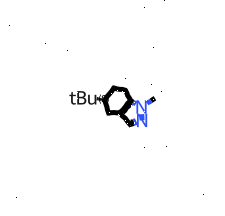 Cn1ncc2c1CC[C@H](C(C)(C)C)C2